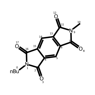 CCCCn1c(=O)c2cc3c(=O)n(C)c(=O)c3cc2c1=O